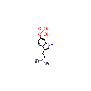 CC(C)N(CCc1c[nH]c2cc(OP(=O)(O)O)ccc12)C(C)C